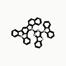 c1ccc2c(c1)ccc1c3cc4c5ccccc5n5c6ccccc6c(c3n(-c3nc(-n6c7ccccc7c7ccccc76)c6sc7ccccc7c6n3)c21)c45